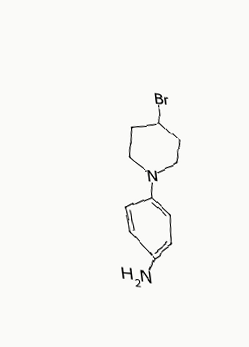 Nc1ccc(N2CCC(Br)CC2)cc1